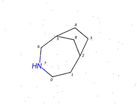 C1CC2CC[C](CN1)C2